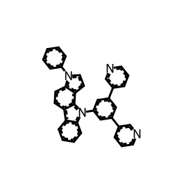 c1ccc(-n2ccc3c2ccc2c4ccccc4n(-c4cc(-c5cccnc5)cc(-c5cccnc5)c4)c23)cc1